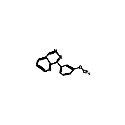 COc1cccc(-c2nncc3cccnc23)c1